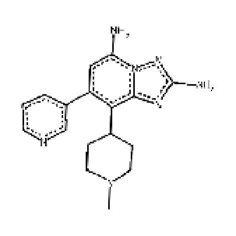 CN1CCC(c2c(-c3cccnc3)cc(N)n3nc(N)nc23)CC1